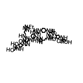 CCn1nnc(CCNc2nc(N[C@H]3CC[C@H](NC(=O)N[C@H]4CC[C@H](Nc5nc(NCCc6nnn(CC)n6)nc6c5ncn6[C@@H]5C[C@H](NC(=O)CO)[C@@H](O)[C@H]5O)CC4)CC3)c3ncn([C@@H]4C[C@H](NC(=O)CO)[C@@H](O)[C@H]4O)c3n2)n1